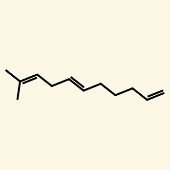 C=CCCCC=CCC=C(C)C